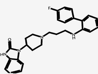 O=c1[nH]c2ccccc2n1C1CCN(CCCNc2ccccc2-c2ccc(F)cc2)CC1